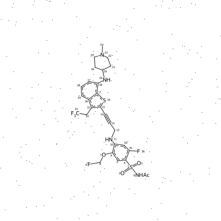 CC(=O)NS(=O)(=O)c1cc(OCF)c(NCC#Cc2sc3c(NC4CCN(C)CC4)cccc3c2CC(F)(F)F)cc1F